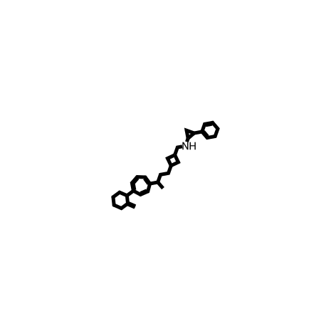 C=C1CCCCC1C1=C=CC=C(C(C)CCC2CC(CNC3CC3C3=CCCC=C3)C2)C=C1